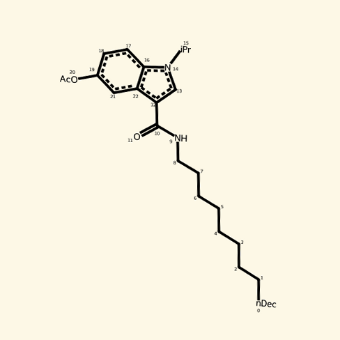 CCCCCCCCCCCCCCCCCCNC(=O)c1cn(C(C)C)c2ccc(OC(C)=O)cc12